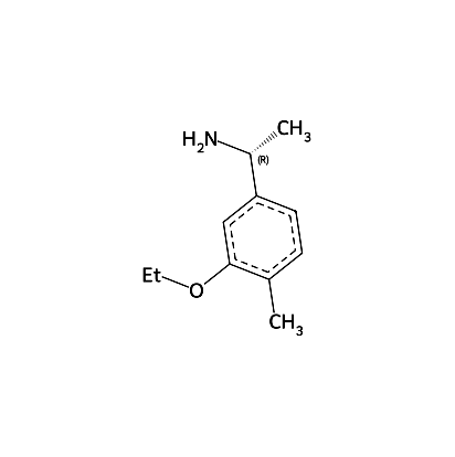 CCOc1cc([C@@H](C)N)ccc1C